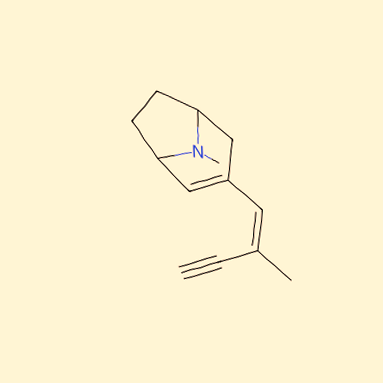 C#CC(C)=CC1=CC2CCC(C1)N2C